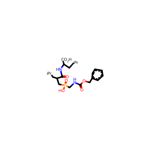 CC(C)CC(CP(=O)(O)CNC(=O)OCc1ccccc1)C(=O)NC(CC(C)C)C(=O)O